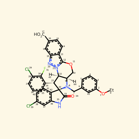 CCOc1cccc(CN2[C@@H]3COc4c5ccc(C(=O)O)cc5nn4[C@@H]3[C@@H](c3cccc(Cl)c3F)[C@@]23C(=O)Nc2cc(Cl)ccc23)c1